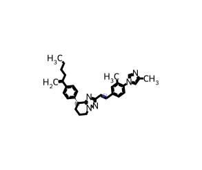 C=C(CCCC)c1ccc([C@H]2CCCn3nc(/C=C/c4ccc(-n5cnc(C)c5)c(C)c4)nc32)cc1